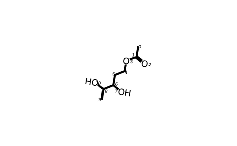 CC(=O)OCCC(O)C(C)O